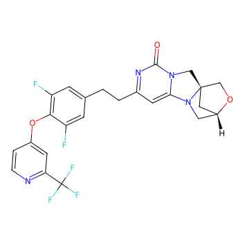 O=c1nc(CCc2cc(F)c(Oc3ccnc(C(F)(F)F)c3)c(F)c2)cc2n1C[C@]13CO[C@H](CN21)C3